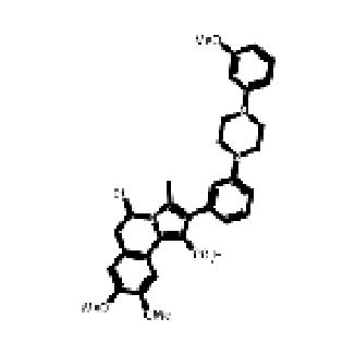 CCC1Cc2cc(OC)c(OC)cc2-c2c(C(=O)O)c(-c3cccc(N4CCN(c5cccc(OC)c5)CC4)c3)c(C)n21